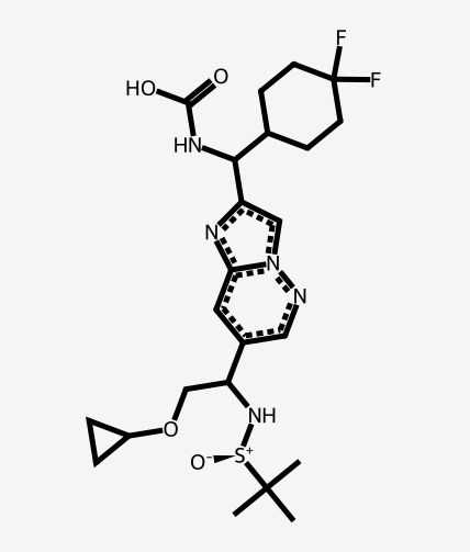 CC(C)(C)[S@@+]([O-])NC(COC1CC1)c1cnn2cc(C(NC(=O)O)C3CCC(F)(F)CC3)nc2c1